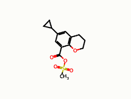 CS(=O)(=O)OC(=O)c1cc(C2CC2)cc2c1OCCC2